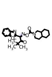 CC(C)(C)C(=O)/C(=N\OC(=O)N1CCC2CCCCC2C1)c1nc2ccccc2o1